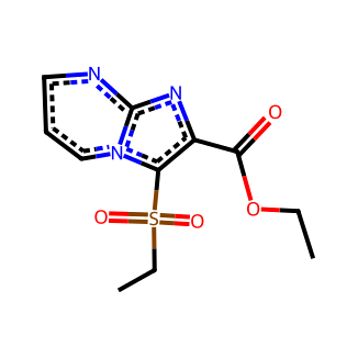 CCOC(=O)c1nc2ncccn2c1S(=O)(=O)CC